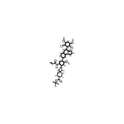 C=CC(=O)Nc1cc(-c2cc3c(cn2)cc(-c2c(Cl)c(OC)cc(OC)c2Cl)c2nccn23)c(OC)cc1N1CC2(CCN(C(=O)OC(C)(C)C)CC2)C1